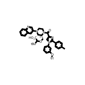 CCOc1cccc(-n2cc(C(=O)N3CCN(c4cnc5ccccc5c4)C[C@H]3COC(C(=O)O)C(C)(C)C)nc2-c2ccc(C)cc2)c1